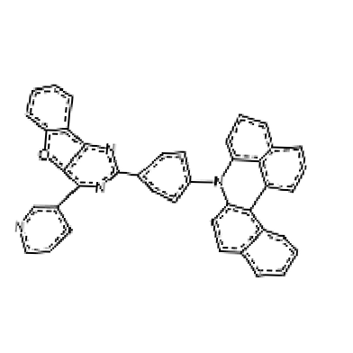 c1cncc(-c2nc(-c3ccc(N4c5ccc6ccccc6c5-c5cccc6cccc4c56)cc3)nc3c2oc2ccccc23)c1